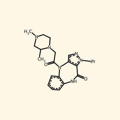 CC1CN(C)CCN1CC(=O)N1c2ccccc2NC(=O)c2c1cnn2C(C)C